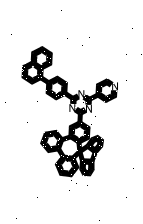 c1ccc2c(c1)-c1ccccc1C1(c3ccc(-c4nc(-c5ccncc5)nc(-c5ccc(-c6cccc7ccccc67)cc5)n4)cc3-2)c2ccccc2-c2ccccc21